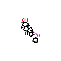 C[C@@]1(O)CC[C@H]2[C@H](CC[C@@H]3[C@@H]2CC[C@]2(C)C(P(C)(=O)c4ccccc4)=CC[C@@H]32)C1